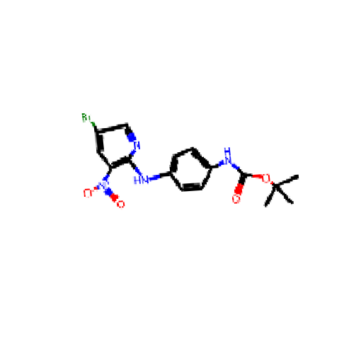 CC(C)(C)OC(=O)Nc1ccc(Nc2ncc(Br)cc2[N+](=O)[O-])cc1